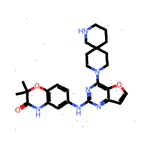 CC1(C)Oc2ccc(Nc3nc(N4CCC5(CCCNC5)CC4)c4occc4n3)cc2NC1=O